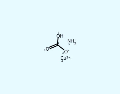 O=C([O-])O.[Cu+2].[NH2-]